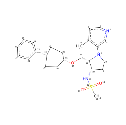 Cc1ccncc1N1CC[C@H](NS(C)(=O)=O)[C@@H]1CO[C@H]1CC[C@@H](c2ccccc2)CC1